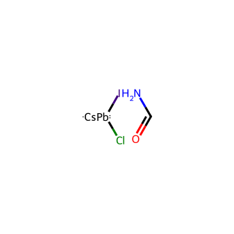 NC=O.[Cl][Pb][I].[Cs]